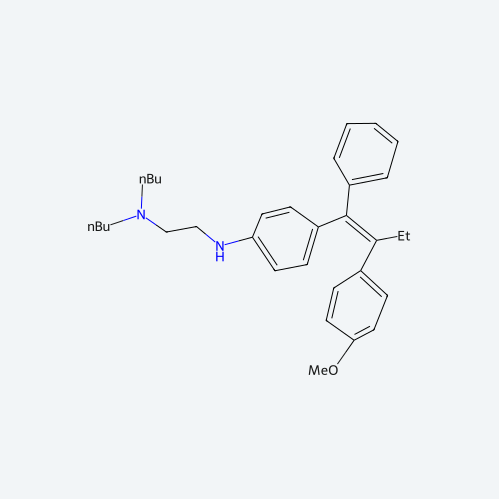 CCCCN(CCCC)CCNc1ccc(C(=C(CC)c2ccc(OC)cc2)c2ccccc2)cc1